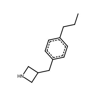 CCCc1ccc(CC2CNC2)cc1